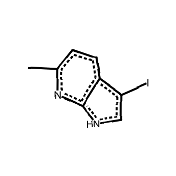 Cc1ccc2c(I)c[nH]c2n1